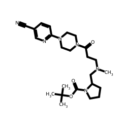 CN(CCC(=O)N1CCN(c2ccc(C#N)cn2)CC1)CC1CCCN1C(=O)OC(C)(C)C